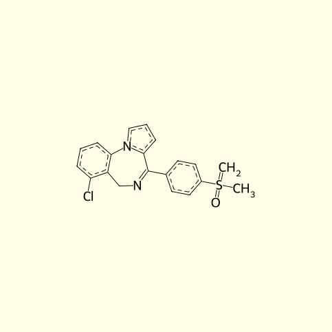 C=S(C)(=O)c1ccc(C2=NCc3c(Cl)cccc3-n3cccc32)cc1